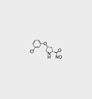 O=NC(=O)[C@@H]1C[C@H](Oc2cccc(Cl)c2)CN1